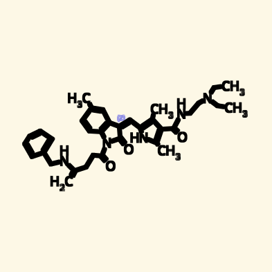 C=C(CCC(=O)N1C(=O)/C(=C\c2[nH]c(C)c(C(=O)NCCN(CC)CC)c2C)c2cc(C)ccc21)NCc1ccccc1